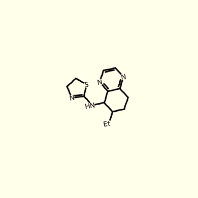 CCC1CCc2nccnc2C1NC1=NCCS1